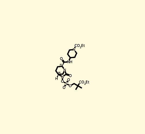 CCOC(=O)N1CCC(NC(=O)[C@@H]2CC[C@@H]3CN2C(=O)N3OS(=O)(=O)OCC(C)(C)C(=O)OCC)CC1